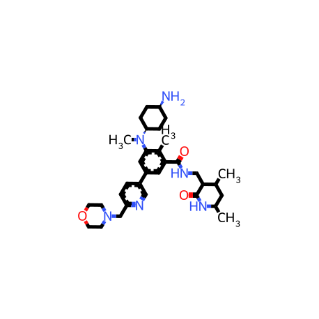 Cc1c(C(=O)NCC2C(=O)NC(C)CC2C)cc(-c2ccc(CN3CCOCC3)nc2)cc1N(C)[C@H]1CC[C@H](N)CC1